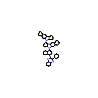 c1ccc(-c2nc3ccccc3nc2-c2ccc(-n3c4cc5ccccc5cc4c4c(-n5c6ccccc6c6cc7ccccc7cc65)cccc43)c3ccccc23)cc1